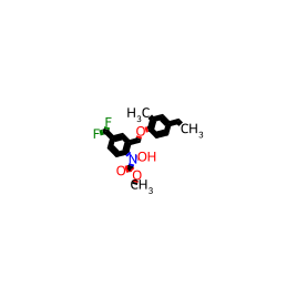 CCc1ccc(OCc2cc(C(F)F)ccc2N(O)C(=O)OC)c(C)c1